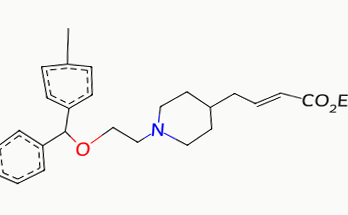 CCOC(=O)C=CCC1CCN(CCOC(c2ccccc2)c2ccc(C)cc2)CC1